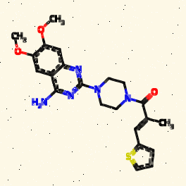 COc1cc2nc(N3CCN(C(=O)C(C)=Cc4cccs4)CC3)nc(N)c2cc1OC